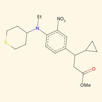 CCN(c1ccc(C(CC(=O)OC)C2CC2)cc1[N+](=O)[O-])C1CCSCC1